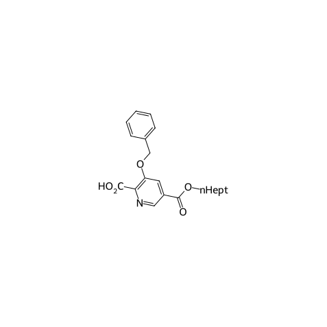 CCCCCCCOC(=O)c1cnc(C(=O)O)c(OCc2ccccc2)c1